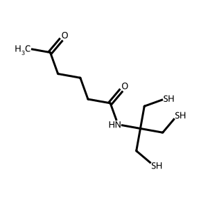 CC(=O)CCCC(=O)NC(CS)(CS)CS